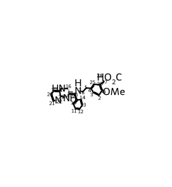 COc1ccc(CCN[C@H](c2ccccc2)[C@H]2CNc3cccnc3N2)cc1CC(=O)O